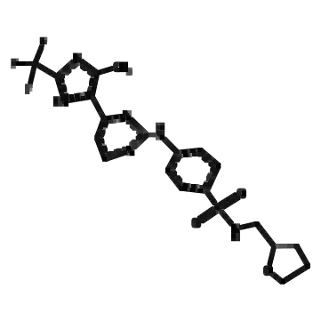 Cc1nc(C(F)(F)F)[nH]c1-c1ccnc(Nc2ccc(S(=O)(=O)NCC3CCCO3)cc2)n1